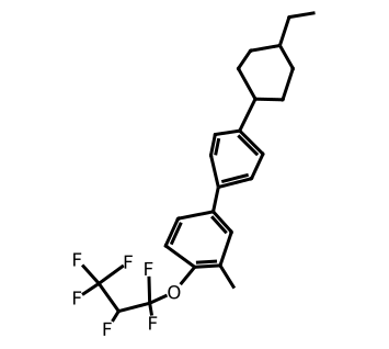 CCC1CCC(c2ccc(-c3ccc(OC(F)(F)C(F)C(F)(F)F)c(C)c3)cc2)CC1